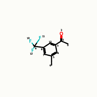 CC(=O)c1cc(C)cc(C(F)(F)F)c1